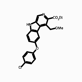 CCOC(=O)c1ncc2[nH]c3ccc(Oc4ccc(Cl)cc4)cc3c2c1COC